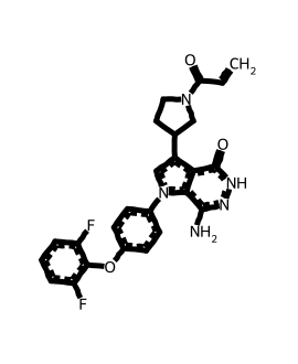 C=CC(=O)N1CCC(c2cn(-c3ccc(Oc4c(F)cccc4F)cc3)c3c(N)n[nH]c(=O)c23)C1